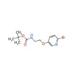 CC(C)(C)OC(=O)NCCOc1ccc(Br)nc1